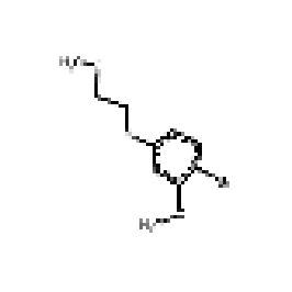 COCCOc1ccc(Br)c(OC)c1